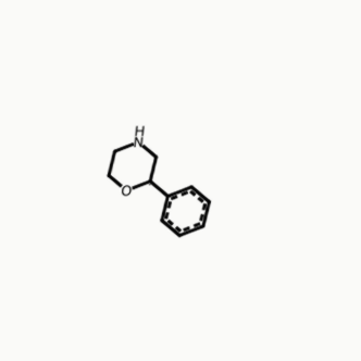 c1ccc([C]2CNCCO2)cc1